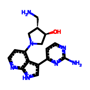 NC[C@H]1CN(c2ccnc3[nH]cc(-c4ccnc(N)n4)c23)C[C@@H]1O